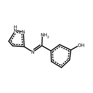 NC(=Nc1cc[nH]n1)c1cccc(O)c1